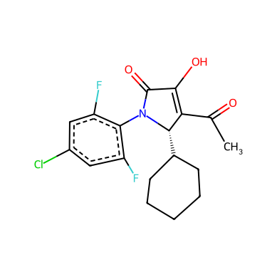 CC(=O)C1=C(O)C(=O)N(c2c(F)cc(Cl)cc2F)[C@H]1C1CCCCC1